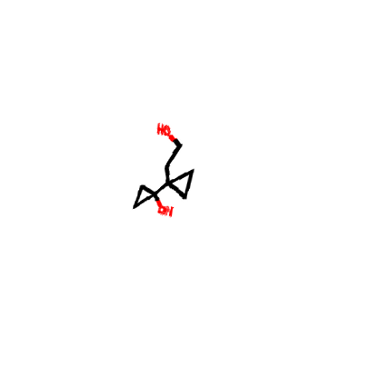 OCCC1(C2(O)CC2)CC1